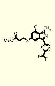 COC(=O)CCSc1cc(Cl)c2c(c1)c(-c1nnc(C(F)F)s1)nn2C